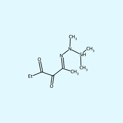 CCC(=O)C(=O)C(C)=NN(C)[SiH](C)C